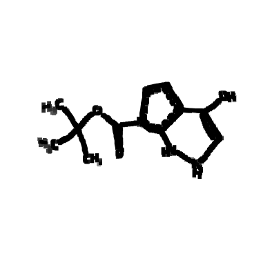 CC(C)(C)OC(=O)n1ccc2c1NNC=C2O